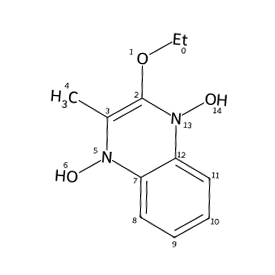 CCOC1=C(C)N(O)c2ccccc2N1O